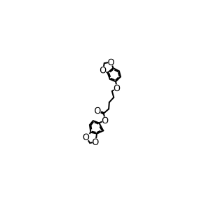 O=C(CCCCOc1ccc2c(c1)OCO2)Oc1ccc2c(c1)OCO2